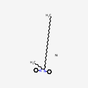 CCCCCCCCCCCCCCCCCCCCCCCCCC/C=C/C(=N\c1ccccc1)C(/CCCCC)=N/c1ccccc1.[Ni]